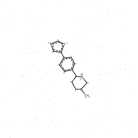 CC1CCC(c2ccc(-c3cncs3)cc2)NC1